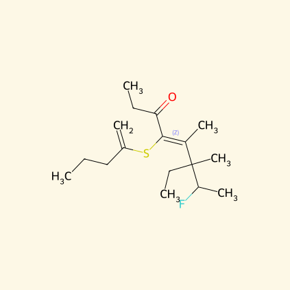 C=C(CCC)S/C(C(=O)CC)=C(/C)C(C)(CC)C(C)F